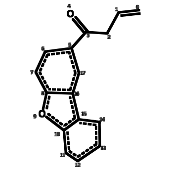 C=CCC(=O)c1ccc2oc3ccccc3c2c1